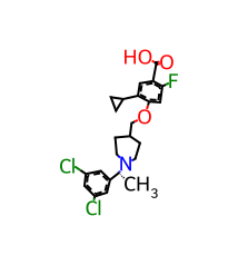 C[C@H](c1cc(Cl)cc(Cl)c1)N1CCC(COc2cc(F)c(C(=O)O)cc2C2CC2)CC1